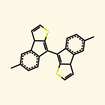 Cc1ccc2c(c1)C1C=CSC1=C2C1=C2SC=CC2c2cc(C)ccc21